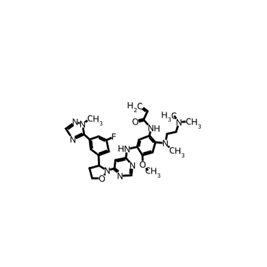 C=CC(=O)Nc1cc(Nc2cc(N3OCCC3c3cc(F)cc(-c4ncnn4C)c3)ncn2)c(OC)cc1N(C)CCN(C)C